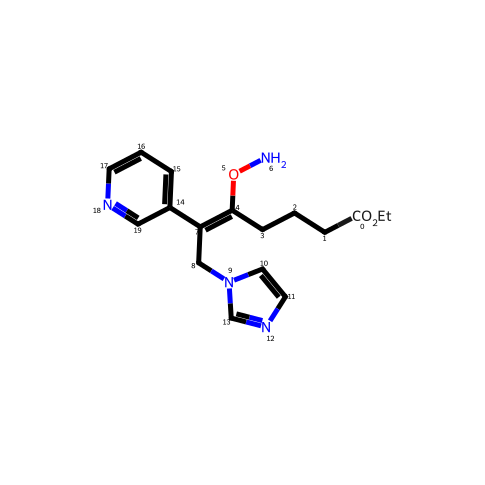 CCOC(=O)CCCC(ON)=C(Cn1ccnc1)c1cccnc1